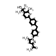 Cc1nc(-c2ccc(Cc3ccc(-n4nc(C(N)=O)cc4C)cc3)cc2)ccc1C(C)(C)O